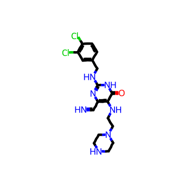 N=Cc1nc(NCc2ccc(Cl)c(Cl)c2)[nH]c(=O)c1NCCN1CCNCC1